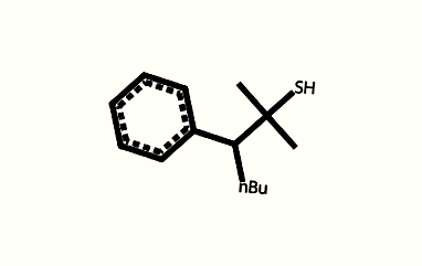 CCCCC(c1ccccc1)C(C)(C)S